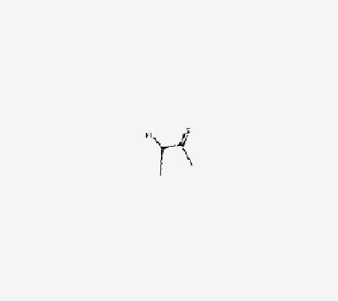 CCC(C)C(C)=S